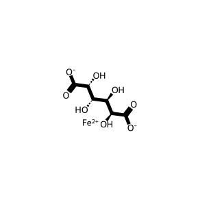 O=C([O-])[C@@H](O)[C@H](O)[C@H](O)[C@@H](O)C(=O)[O-].[Fe+2]